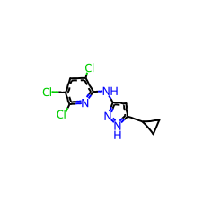 Clc1cc(Cl)c(Nc2cc(C3CC3)[nH]n2)nc1Cl